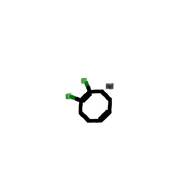 ClC1=C(Cl)CCC=CCC1.[Pd]